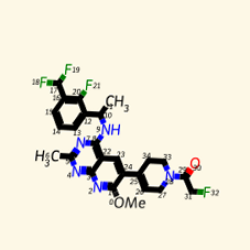 COc1nc2nc(C)nc(NC(C)c3cccc(C(F)F)c3F)c2cc1C1=CCN(C(=O)CF)CC1